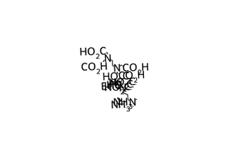 C=C.CC(=O)O.CC(=O)O.CC(=O)O.CC(=O)O.CCN=C=NCCCN(C)C.N.N.O=C(O)CN(CCN(CC(=O)O)CC(=O)O)CC(=O)O